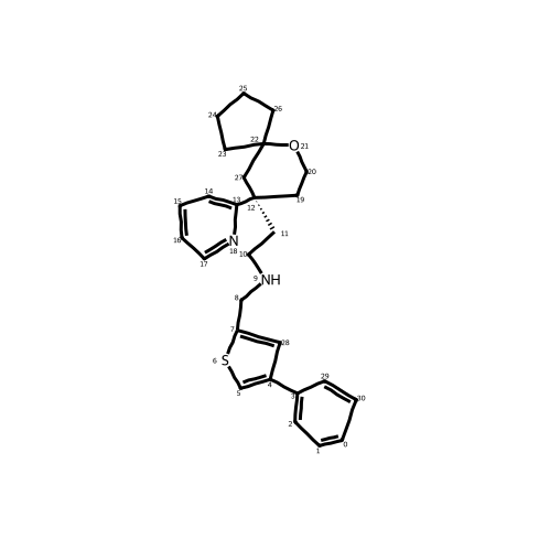 c1ccc(-c2csc(CNCC[C@@]3(c4ccccn4)CCOC4(CCCC4)C3)c2)cc1